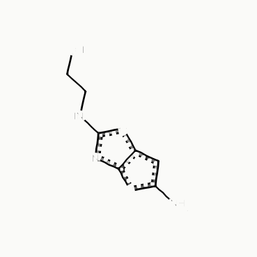 Nc1cc2oc(NCCO)nc2s1